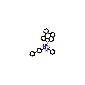 c1ccc(-c2ccc(-c3nc(-c4ccccc4)nc(-n4c5cccc6c5c5c7c(cccc7ccc54)-c4ccccc4-6)n3)cc2)cc1